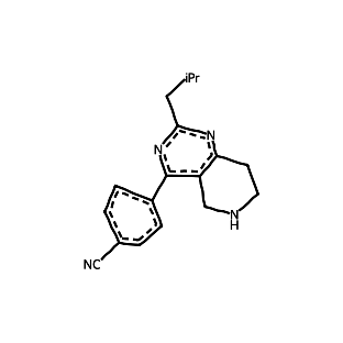 CC(C)Cc1nc2c(c(-c3ccc(C#N)cc3)n1)CNCC2